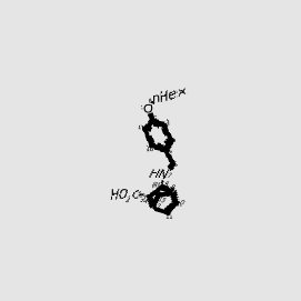 CCCCCCOc1ccc(CN[C@@H]2C3C=CC(C3)[C@@H]2C(=O)O)cc1